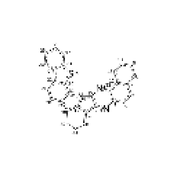 C1=c2c3nc4ccc5ccccc5c4nc3n3c2c(c2ccc4c5ccccc5sc4c23)CC1